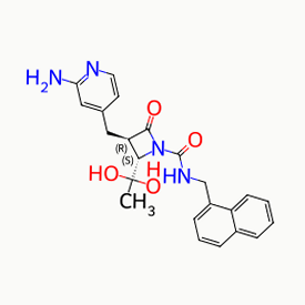 CC(O)(O)[C@@H]1[C@@H](Cc2ccnc(N)c2)C(=O)N1C(=O)NCc1cccc2ccccc12